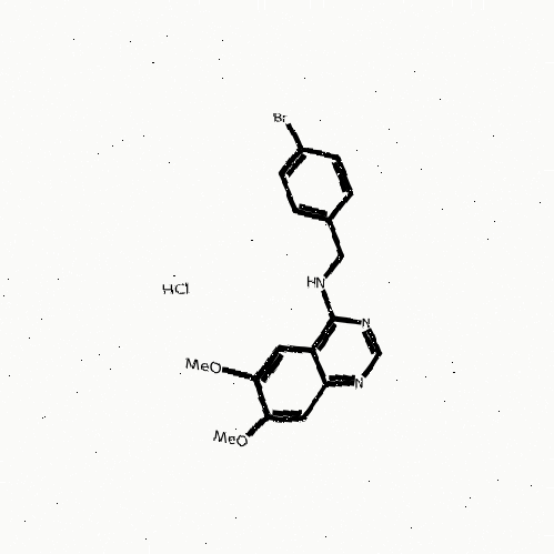 COc1cc2ncnc(NCc3ccc(Br)cc3)c2cc1OC.Cl